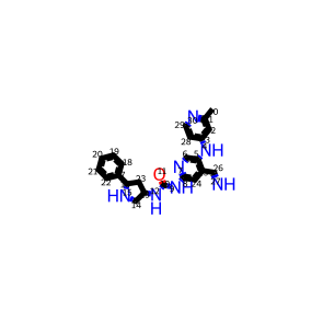 Cc1cc(Nc2cnc(NC(=O)NC3CNC(c4ccccc4)C3)cc2C=N)ccn1